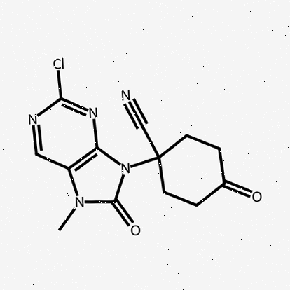 Cn1c(=O)n(C2(C#N)CCC(=O)CC2)c2nc(Cl)ncc21